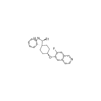 CC[C@H](N)[C@]1(c2ccccc2)CC[C@H](Oc2cc3ccncc3cc2F)CC1